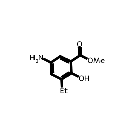 CCc1cc(N)cc(C(=O)OC)c1O